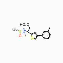 Cc1cccc(-c2csc([C@](C)(CC(=O)O)N[S+]([O-])C(C)(C)C)c2)c1